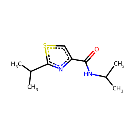 CC(C)NC(=O)c1csc(C(C)C)n1